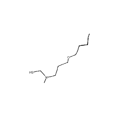 CCCCOCCCN(C)CS